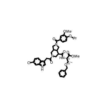 COC(=O)[C@@H](NC(=O)C1CN(C(=O)Cc2c[nH]c3cc(Cl)ccc23)CC2CN(C(=O)c3ccc(OC(C)C)c(OC)c3)CC21)[C@H](C)OCc1ccccc1